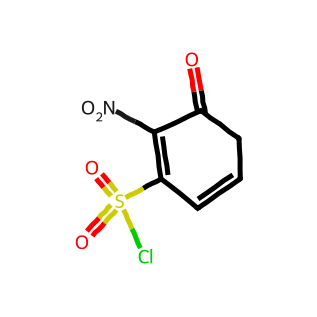 O=C1CC=CC(S(=O)(=O)Cl)=C1[N+](=O)[O-]